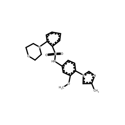 COc1cc(NS(=O)(=O)c2ccccc2N2CCOCC2)ccc1-n1cnc(C)c1